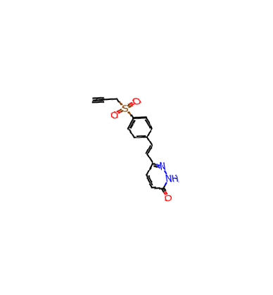 C#CCS(=O)(=O)c1ccc(/C=C/c2ccc(=O)[nH]n2)cc1